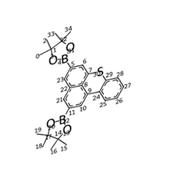 CC1(C)OB(c2cc3c4c(cc(B5OC(C)(C)C(C)(C)O5)cc4c2)-c2ccccc2S3)OC1(C)C